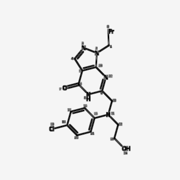 CC(C)Cn1ncc2c(=O)[nH]c(CN(CCO)c3ccc(Cl)cc3)nc21